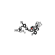 COC(=O)N[C@H]1CCC[C@@H]1[C@](CN1CCC1)(c1cccc(F)c1)C1CCN(CC2CN(c3ccc(C#N)c(CN4CC(C)(O)C4)c3)C2)CC1